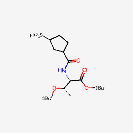 C[C@H](OC(C)(C)C)[C@H](NC(=O)C1CCC(S(=O)(=O)O)C1)C(=O)OC(C)(C)C